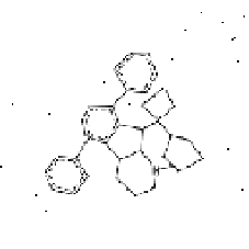 CN1CCCC2c3c(-c4ccccc4)ccc(-c4ccccc4)c3C(C3(C4CCCC4)CCC3)C21